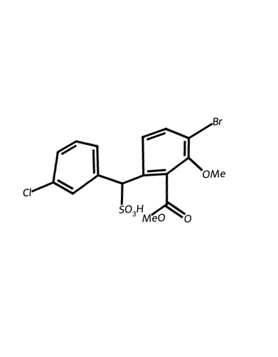 COC(=O)c1c(C(c2cccc(Cl)c2)S(=O)(=O)O)ccc(Br)c1OC